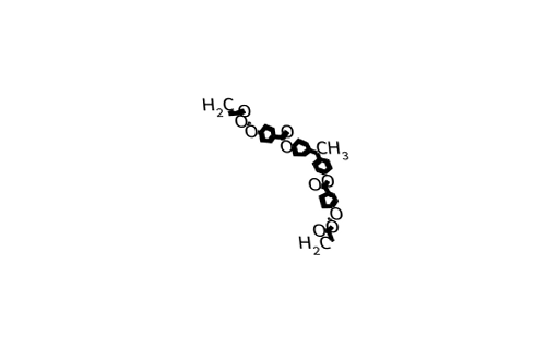 C=CC(=O)OCOc1ccc(C(=O)Oc2ccc(C(C)c3ccc(OC(=O)c4ccc(OCOC(=O)C=C)cc4)cc3)cc2)cc1